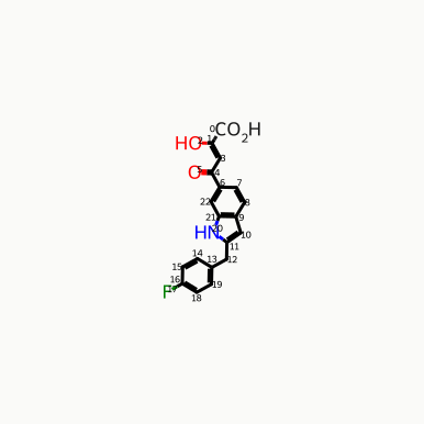 O=C(O)C(O)=CC(=O)c1ccc2cc(Cc3ccc(F)cc3)[nH]c2c1